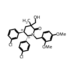 COc1ccc(CN2C(=O)C(C)(CO)C[C@H](c3cccc(Cl)c3)[C@H]2c2ccc(Cl)cc2)c(OC)c1